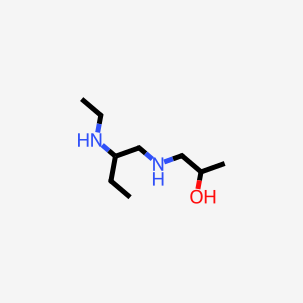 CCNC(CC)CNCC(C)O